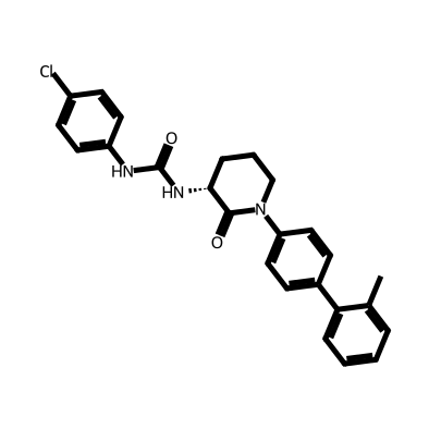 Cc1ccccc1-c1ccc(N2CCC[C@@H](NC(=O)Nc3ccc(Cl)cc3)C2=O)cc1